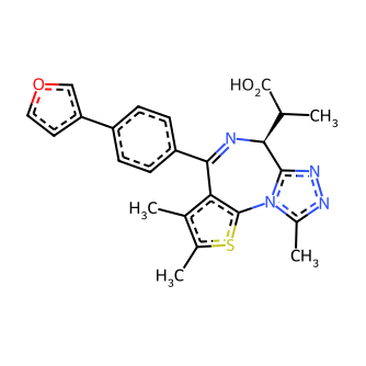 Cc1sc2c(c1C)C(c1ccc(-c3ccoc3)cc1)=N[C@@H](C(C)C(=O)O)c1nnc(C)n1-2